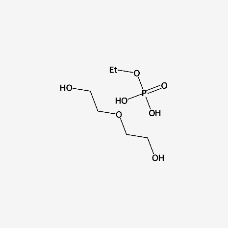 CCOP(=O)(O)O.OCCOCCO